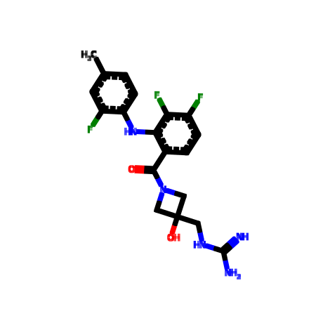 Cc1ccc(Nc2c(C(=O)N3CC(O)(CNC(=N)N)C3)ccc(F)c2F)c(F)c1